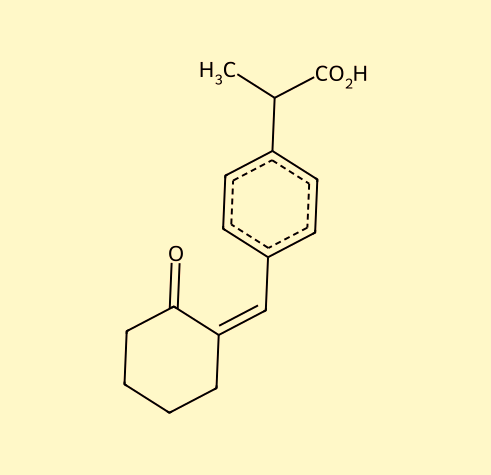 CC(C(=O)O)c1ccc(/C=C2/CCCCC2=O)cc1